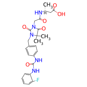 C[C@H](CC(=O)O)NC(=O)CN1C(=O)N(Cc2ccc(NC(=O)Nc3ccccc3F)cc2)C(C)(C)C1=O